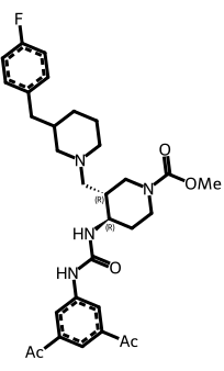 COC(=O)N1CC[C@@H](NC(=O)Nc2cc(C(C)=O)cc(C(C)=O)c2)[C@H](CN2CCCC(Cc3ccc(F)cc3)C2)C1